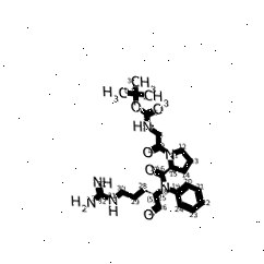 CC(C)(C)OC(=O)NCC(=O)N1CCC[C@H]1C(=O)N(c1ccccc1)[C@H]([C]=O)CCCNC(=N)N